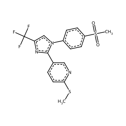 CSc1ccc(-c2nc(C(F)(F)F)cn2-c2ccc(S(C)(=O)=O)cc2)cn1